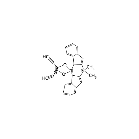 C#CC(=O)[O][Ti]1([O]C(=O)C#C)[CH]2C(=Cc3ccccc32)[Si](C)(C)C2=Cc3ccccc3[CH]21